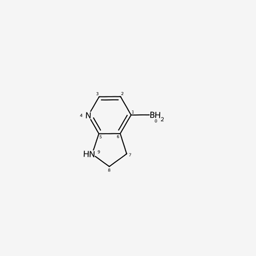 Bc1ccnc2c1CCN2